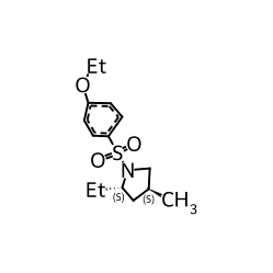 CCOc1ccc(S(=O)(=O)N2C[C@@H](C)C[C@@H]2CC)cc1